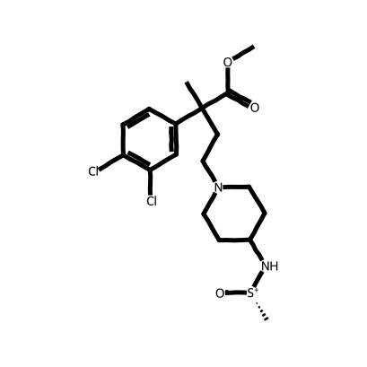 COC(=O)C(C)(CCN1CCC(N[S@+](C)[O-])CC1)c1ccc(Cl)c(Cl)c1